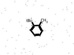 Cc1ccccc1C(C)(C)C